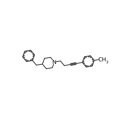 Cc1ccc(C#CCCN2CCC(Cc3ccccc3)CC2)cc1